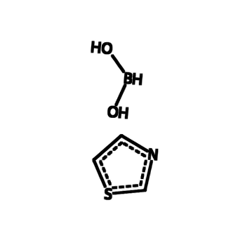 OBO.c1cscn1